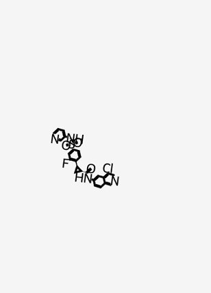 O=C(Nc1ccc2cncc(Cl)c2c1)[C@@H]1C[C@H]1c1ccc(S(=O)(=O)Nc2cccnc2)cc1F